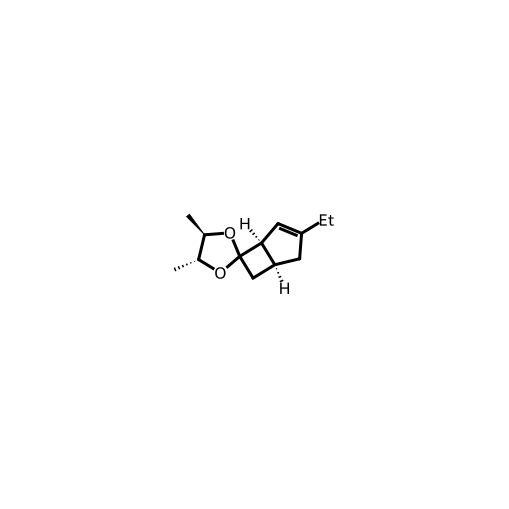 CCC1=C[C@H]2[C@@H](C1)CC21O[C@H](C)[C@@H](C)O1